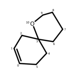 C1=CCC2(CC1)CCCCO2